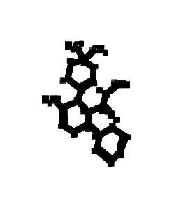 CC1(C)CC=C(C2C(N)=CCC(C3C=CN=CC3)N2C(=O)OC(C)(C)C)CC1